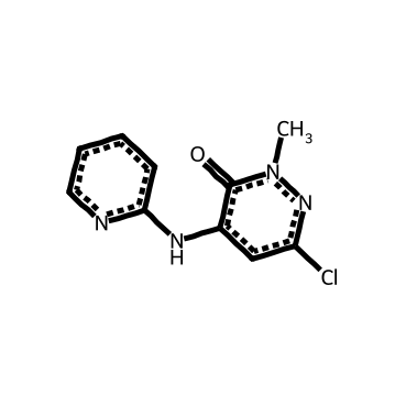 Cn1nc(Cl)cc(Nc2ccccn2)c1=O